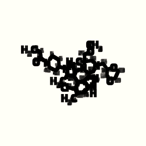 C=CC(=O)N1CCC(n2nc(N3CCN(C[C@@H]4COCCO4)C[C@]3(C)COC)c(-c3c(Cl)c(C)cc4[nH]ncc34)c2C)CC1